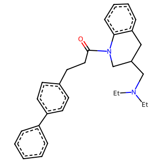 CCN(CC)CC1Cc2ccccc2N(C(=O)CCc2ccc(-c3ccccc3)cc2)C1